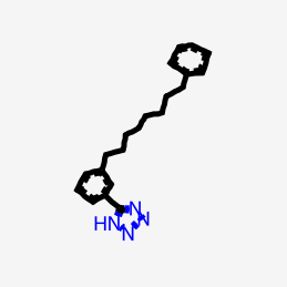 c1ccc(CCCCCCCCc2cccc(-c3nnn[nH]3)c2)cc1